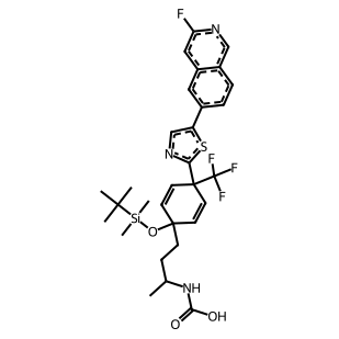 CC(CCC1(O[Si](C)(C)C(C)(C)C)C=CC(c2ncc(-c3ccc4cnc(F)cc4c3)s2)(C(F)(F)F)C=C1)NC(=O)O